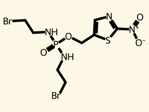 O=[N+]([O-])c1ncc(COP(=O)(NCCBr)NCCBr)s1